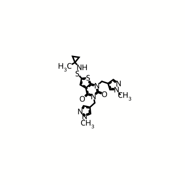 Cn1cc(Cn2c(=O)c3cc(SNC4(C)CC4)sc3n(Cc3cnn(C)c3)c2=O)cn1